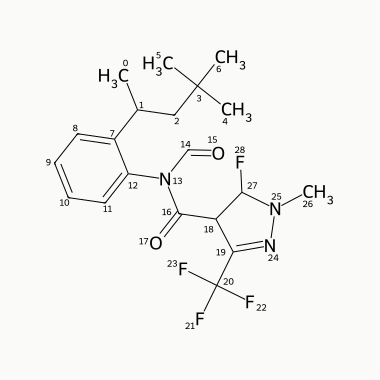 CC(CC(C)(C)C)c1ccccc1N(C=O)C(=O)C1C(C(F)(F)F)=NN(C)C1F